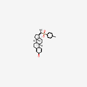 [C-]#[N+]/C(=C1\CC[C@H]2[C@@H]3CCC4=CC(=O)C=C[C@]4(C)[C@H]3CC[C@]12C)S(=O)(=O)c1ccc(C)cc1